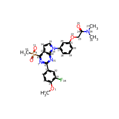 COc1ccc(-c2nc(S(C)(=O)=O)c3ccn(-c4cccc(OCC(=O)N(C)C)c4)c3n2)cc1F